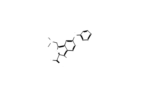 CN(C)Cc1nc(C(N)=O)c(O)c2ccc(Oc3ccccc3)cc12